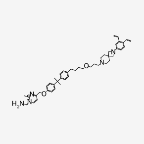 C=Cc1ccc(N2CC3(CCN(CCCOCCCCc4ccc(C(C)(C)c5ccc(OCC(/C=C\N=C\N)=N/SC)cc5)cc4)CC3)C2)cc1C=C